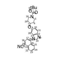 CC(C)(C)OC(=O)N1CCC(Oc2ccc3ncn(-c4ccc(C#N)c5ccccc45)c3c2)CC1